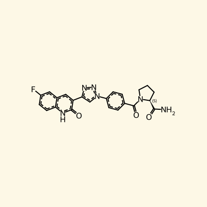 NC(=O)[C@@H]1CCCN1C(=O)c1ccc(-n2cc(-c3cc4cc(F)ccc4[nH]c3=O)nn2)cc1